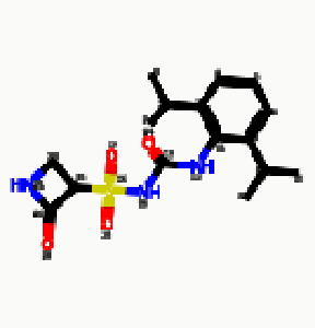 CC(C)c1cccc(C(C)C)c1NC(=O)NS(=O)(=O)C1CNC1=O